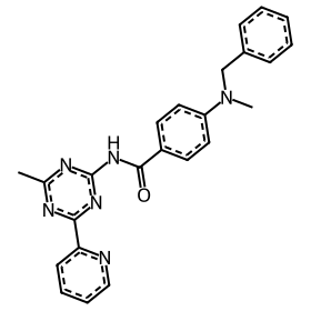 Cc1nc(NC(=O)c2ccc(N(C)Cc3ccccc3)cc2)nc(-c2ccccn2)n1